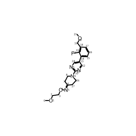 COCCON=C1CCN(c2ncc(-c3cccc(COC)c3F)cn2)CC1